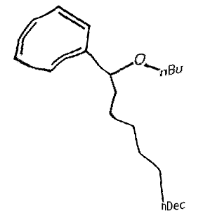 CCCCCCCCCCCCCCC(OCCCC)c1ccccc1